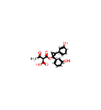 CC(=O)C(C(=O)O)C(=O)OC1(c2cccc(O)c2)CC1c1cccc(O)c1